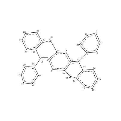 c1ccc(C2=c3cc4c(cc3Sc3ccccc32)=C(c2ccccc2)c2ccccc2S4)cc1